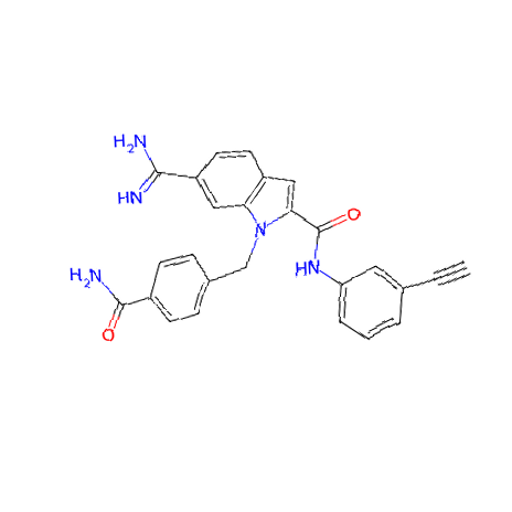 C#Cc1cccc(NC(=O)c2cc3ccc(C(=N)N)cc3n2Cc2ccc(C(N)=O)cc2)c1